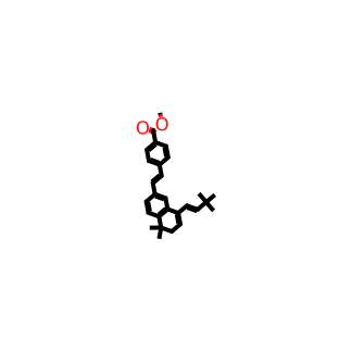 COC(=O)c1ccc(C=Cc2ccc3c(c2)C(C=CC(C)(C)C)=CCC3(C)C)cc1